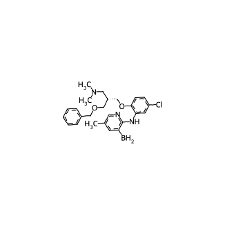 Bc1cc(C)cnc1Nc1cc(Cl)ccc1OC[C@H](COCc1ccccc1)CN(C)C